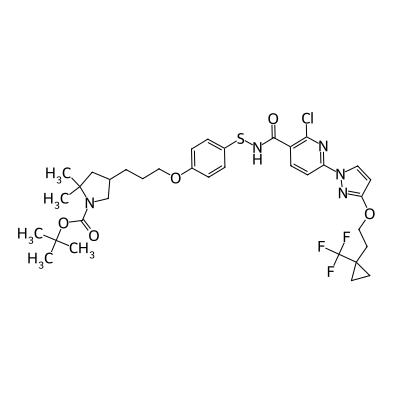 CC(C)(C)OC(=O)N1CC(CCCOc2ccc(SNC(=O)c3ccc(-n4ccc(OCCC5(C(F)(F)F)CC5)n4)nc3Cl)cc2)CC1(C)C